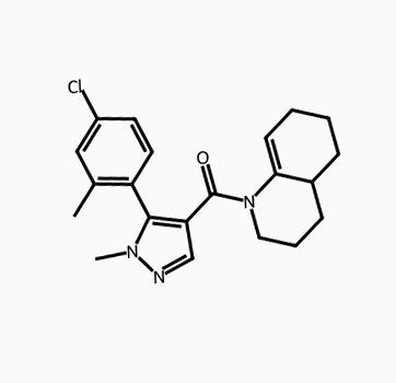 Cc1cc(Cl)ccc1-c1c(C(=O)N2CCCC3CCCC=C32)cnn1C